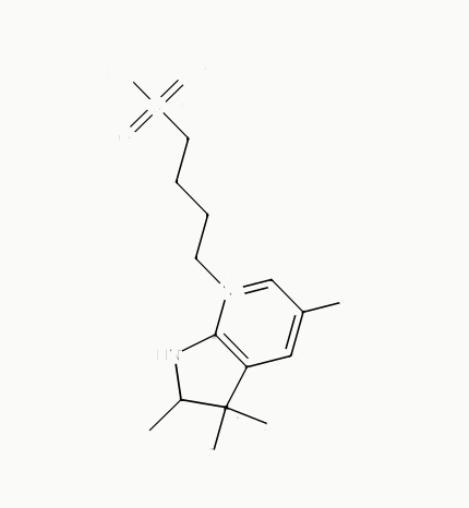 CC1Nc2c(cc(Cl)c[n+]2CCCCS(=O)(=O)O)C1(C)C